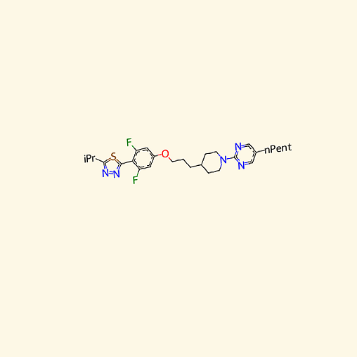 CCCCCc1cnc(N2CCC(CCCOc3cc(F)c(-c4nnc(C(C)C)s4)c(F)c3)CC2)nc1